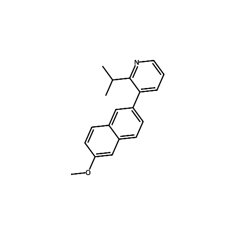 COc1ccc2cc(-c3cccnc3C(C)C)ccc2c1